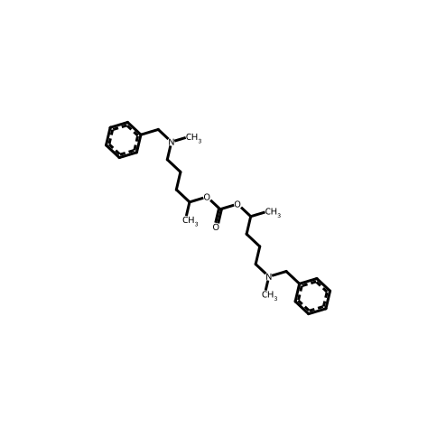 CC(CCCN(C)Cc1ccccc1)OC(=O)OC(C)CCCN(C)Cc1ccccc1